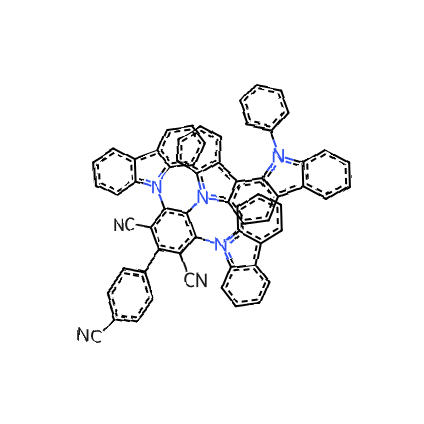 N#Cc1ccc(-c2c(C#N)c(-n3c4ccccc4c4ccccc43)c(-n3c4ccccc4c4c3ccc3c5ccccc5n(-c5ccccc5)c34)c(-n3c4ccccc4c4ccccc43)c2C#N)cc1